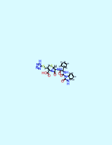 O=C(O)C1=C(CSc2nnn[nH]2)CS[C@H]2C(NC(=O)C(NC(=O)n3c(=O)[nH]c4ccccc43)c3ccccc3)C(=O)N12